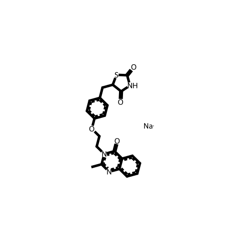 Cc1nc2ccccc2c(=O)n1CCOc1ccc(CC2SC(=O)NC2=O)cc1.[Na]